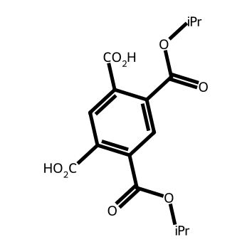 CC(C)OC(=O)c1cc(C(=O)OC(C)C)c(C(=O)O)cc1C(=O)O